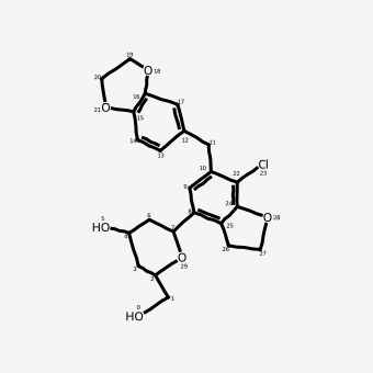 OCC1CC(O)CC(c2cc(Cc3ccc4c(c3)OCCO4)c(Cl)c3c2CCO3)O1